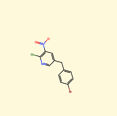 O=[N+]([O-])c1cc(Cc2ccc(Br)cc2)cnc1Cl